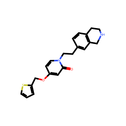 O=c1cc(OCc2cccs2)ccn1CCc1ccc2c(c1)CNCC2